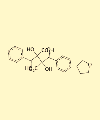 C1CCOC1.O=C(O)C(O)(C(=O)c1ccccc1)C(O)(C(=O)O)C(=O)c1ccccc1